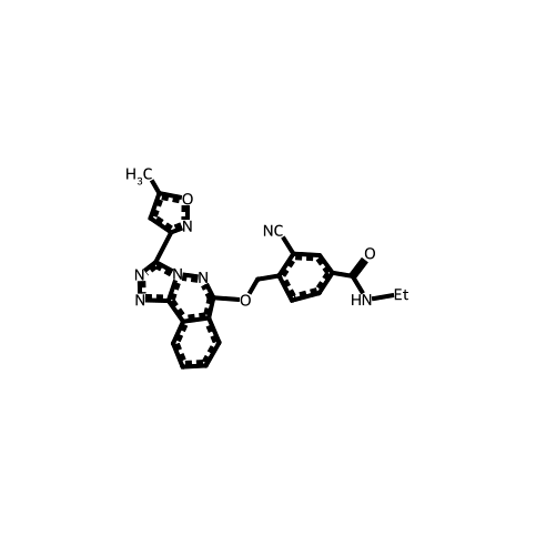 CCNC(=O)c1ccc(COc2nn3c(-c4cc(C)on4)nnc3c3ccccc23)c(C#N)c1